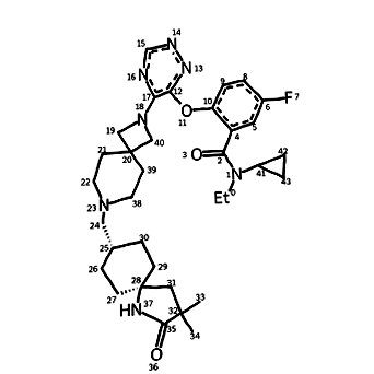 CCN(C(=O)c1cc(F)ccc1Oc1nncnc1N1CC2(CCN(C[C@H]3CC[C@]4(CC3)CC(C)(C)C(=O)N4)CC2)C1)C1CC1